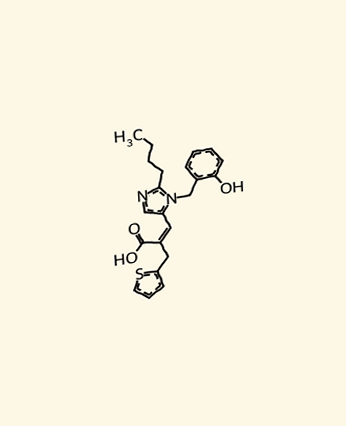 CCCCc1ncc(C=C(Cc2cccs2)C(=O)O)n1Cc1ccccc1O